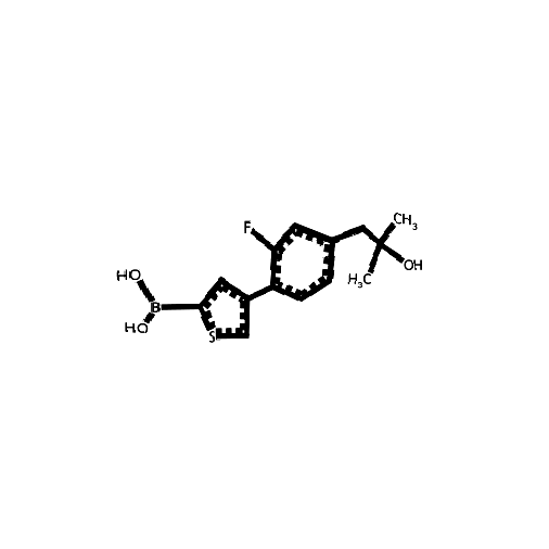 CC(C)(O)Cc1ccc(-c2csc(B(O)O)c2)c(F)c1